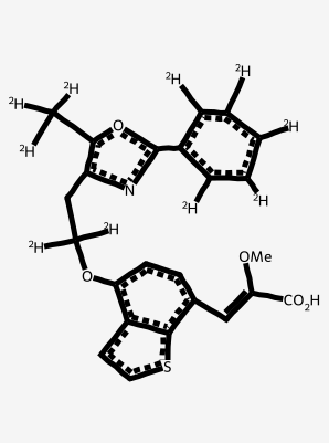 [2H]c1c([2H])c([2H])c(-c2nc(CC([2H])([2H])Oc3ccc(/C=C(\OC)C(=O)O)c4sccc34)c(C([2H])([2H])[2H])o2)c([2H])c1[2H]